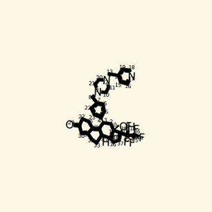 C[C@]12C[C@H](c3ccc(CN4CCN(Cc5ccncc5)CC4)cc3)C3=C4CCC(=O)C=C4CC[C@H]3[C@@H]1CC[C@@]2(O)C(F)(F)C(F)(F)F